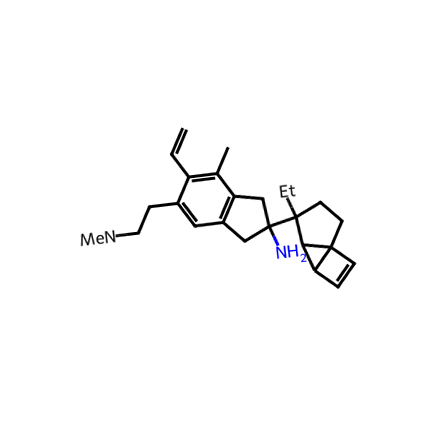 C=Cc1c(CCNC)cc2c(c1C)CC(N)(C1(CC)CCC34C=CC3C41)C2